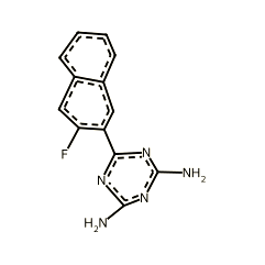 Nc1nc(N)nc(-c2cc3ccccc3cc2F)n1